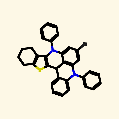 CCc1cc2c3c(c1)N(c1ccccc1)c1c(sc4c1CCCC4)B3c1ccccc1N2c1ccccc1